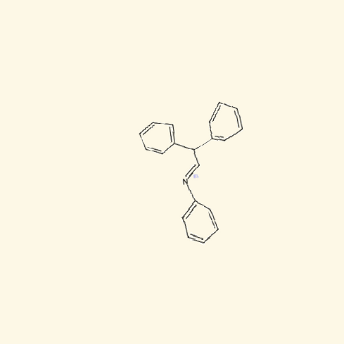 C(=N\c1ccccc1)/C(c1ccccc1)c1ccccc1